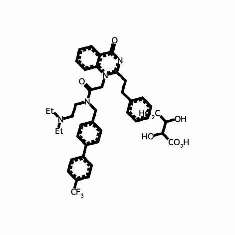 CCN(CC)CCN(Cc1ccc(-c2ccc(C(F)(F)F)cc2)cc1)C(=O)Cn1c(CCc2ccccc2)nc(=O)c2ccccc21.O=C(O)C(O)C(O)C(=O)O